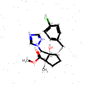 COC(=O)[C@]1(C)CC[C@@H](Cc2ccc(Cl)cc2)[C@]1(O)Cn1cncn1